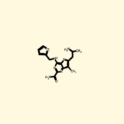 Cc1c(CC(C)N)sc2c(NCc3ccco3)nc(C(N)=O)nc12